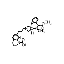 COC(=O)C(c1ccccc1)N(C)C1[C@H]2CN(CCCc3ccc4c(n3)N(C(=O)O)CCC4)C[C@@H]12